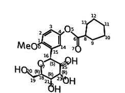 COc1ccc(OC(=O)C2CCCCC2)cc1[C@@H]1O[C@H](CO)[C@H](O)[C@H](O)[C@H]1O